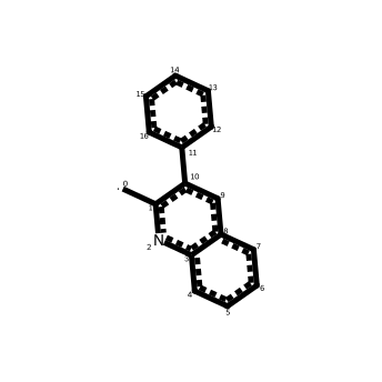 [CH2]c1nc2ccccc2cc1-c1ccccc1